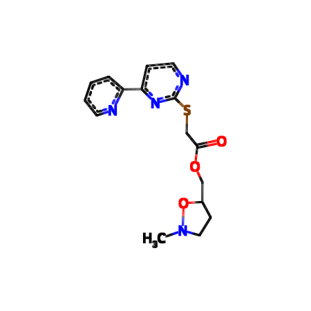 CN1CCC(COC(=O)CSc2nccc(-c3ccccn3)n2)O1